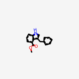 COC(=O)c1cccc2[nH]cc(Cc3ccccc3)c12